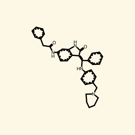 O=C(Cc1ccccc1)Nc1ccc2c(c1)NC(=O)C2=C(Nc1ccc(CN2CCCCC2)cc1)c1ccccc1